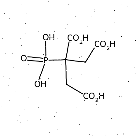 O=C(O)CC(CC(=O)O)(C(=O)O)P(=O)(O)O